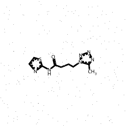 Cc1nnnn1CCCC(=O)Nc1nccs1